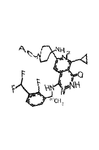 CC(=O)N1CCC(N)(c2cc3c(N[C@H](C)c4cccc(C(F)F)c4F)n[nH]c(=O)c3c(C3CC3)n2)CC1